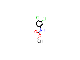 CCOC(=O)Nc1ccc(Cl)c(Cl)c1